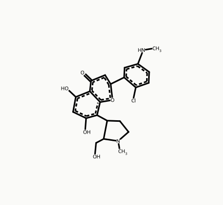 CNc1ccc(Cl)c(-c2cc(=O)c3c(O)cc(O)c(C4CCN(C)C4CO)c3o2)c1